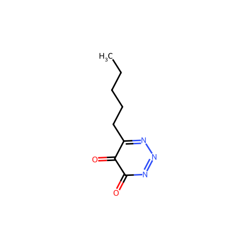 CCCCCC1=NN=NC(=O)C1=O